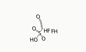 F.F.O=C=CS(=O)(=O)O